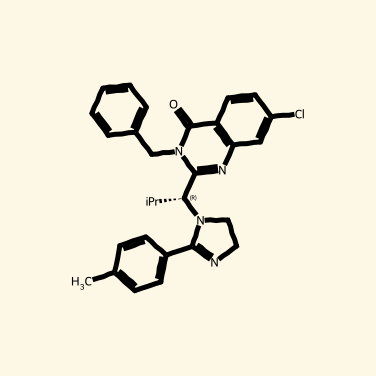 Cc1ccc(C2=NCCN2[C@@H](c2nc3cc(Cl)ccc3c(=O)n2Cc2ccccc2)C(C)C)cc1